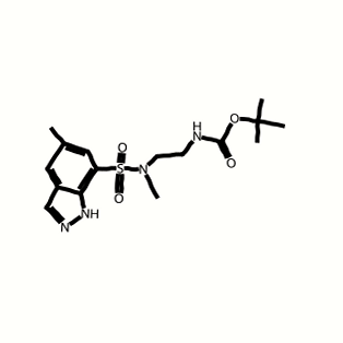 Cc1cc(S(=O)(=O)N(C)CCNC(=O)OC(C)(C)C)c2[nH]ncc2c1